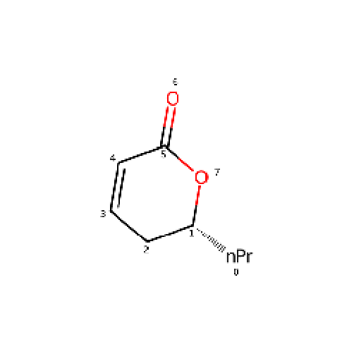 CCC[C@@H]1CC=CC(=O)O1